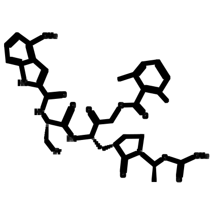 COC(=O)O[C@@H](C)N1CC[C@@H](C[C@H](NC(=O)[C@H](CC(C)C)NC(=O)c2cc3c(OC)cccc3[nH]2)C(=O)COC(=O)c2c(C)cccc2C)C1=O